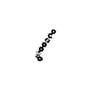 O=C(On1nnc2ccccc21)c1ccc(-c2ccc(N3CCN([C@H]4CC[C@H](C5CCCCC5)CC4)CC3)cc2)cc1